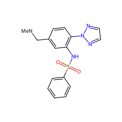 CNCc1ccc(-n2nccn2)c(NS(=O)(=O)c2ccccc2)c1